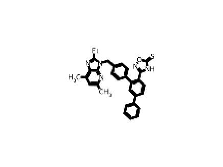 CCc1nc2c(C)cc(C)nc2n1Cc1ccc(-c2cc(-c3ccccc3)ccc2-c2noc(=S)[nH]2)cc1